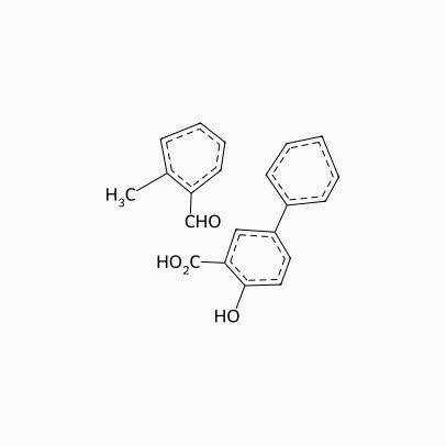 Cc1ccccc1C=O.O=C(O)c1cc(-c2ccccc2)ccc1O